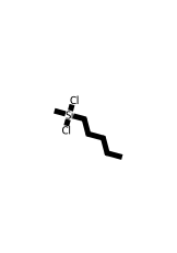 CCCCC[Si](C)(Cl)Cl